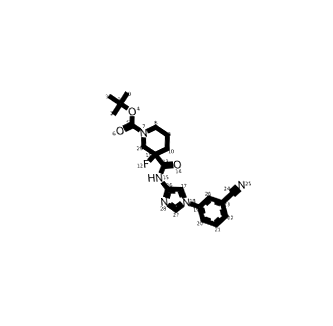 CC(C)(C)OC(=O)N1CCCC(F)(C(=O)Nc2cn(-c3cccc(C#N)c3)cn2)C1